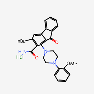 CCCCc1cc2c(c(N3CCN(c4ccccc4OC)CC3)c1C(N)=O)C(=O)c1ccccc1-2.Cl